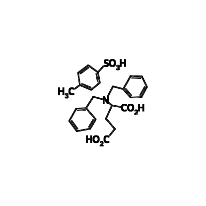 Cc1ccc(S(=O)(=O)O)cc1.O=C(O)CCC(C(=O)O)N(Cc1ccccc1)Cc1ccccc1